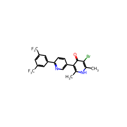 Cc1[nH]c(C)c(-c2ccc(-c3cc(C(F)(F)F)cc(C(F)(F)F)c3)nc2)c(=O)c1Br